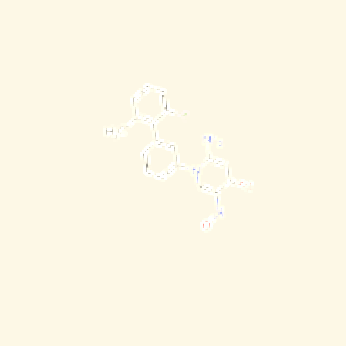 Cc1cccc(F)c1-c1cccc(-n2cc(N=O)c(=O)cc2N)c1